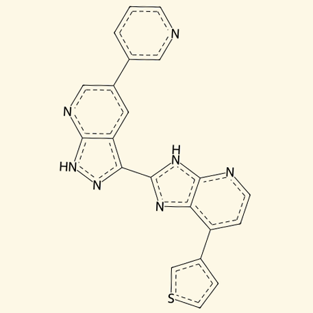 c1cncc(-c2cnc3[nH]nc(-c4nc5c(-c6ccsc6)ccnc5[nH]4)c3c2)c1